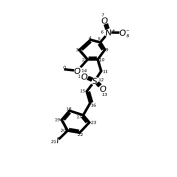 COc1ccc([N+](=O)[O-])cc1CS(=O)(=O)/C=C/c1ccc(I)cc1